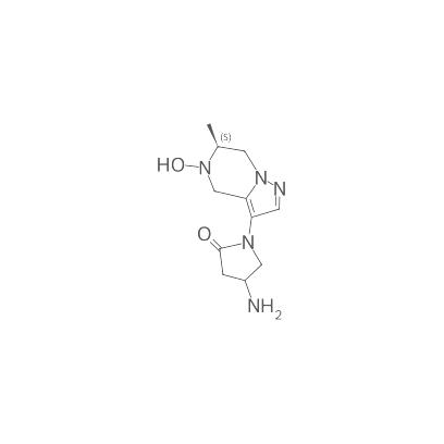 C[C@H]1Cn2ncc(N3CC(N)CC3=O)c2CN1O